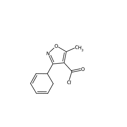 Cc1onc(C2C=CC=CC2)c1C(=O)Cl